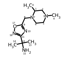 CC1CN(C)CCN1Cc1nc(C(C)(C)N)no1